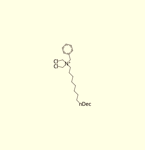 CCCCCCCCCCCCCCCCCC[N+](CCl)(CCl)Cc1ccccc1